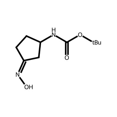 CC(C)(C)OC(=O)NC1CC/C(=N/O)C1